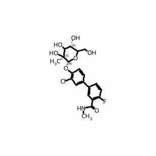 CNC(=O)c1cc(-c2ccc(O[C@H]3OC(CO)[C@@H](O)C(O)[C@]3(C)O)c(Cl)c2)ccc1F